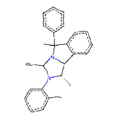 Cc1ccccc1N1C(C(C)(C)C)N2C(c3ccccc3C2(C)c2ccccc2)[C@@H]1C